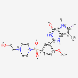 CCCOc1ccc(S(=O)(=O)N2CCN(CCO)CC2)cc1-c1nc2c(CCC)c(I)n(C)c2c(=O)[nH]1